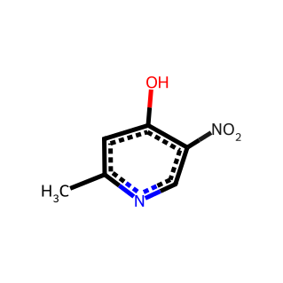 Cc1cc(O)c([N+](=O)[O-])cn1